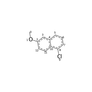 COc1[c]c2cccc(Cl)c2cc1